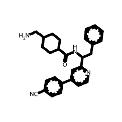 N#Cc1ccc(-c2ccnc(C(Cc3ccccc3)NC(=O)C3CCC(CN)CC3)c2)cc1